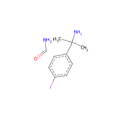 CC(C)(N)c1ccc(I)cc1.NC=O